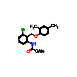 COC(=O)Nc1cccc(Br)c1COc1ccc(C)cc1C(F)(F)F